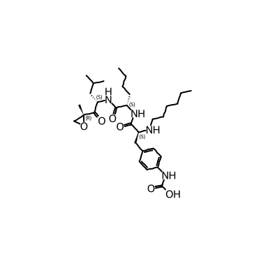 CCCCCCN[C@@H](Cc1ccc(NC(=O)O)cc1)C(=O)N[C@@H](CCCC)C(=O)N[C@@H](CC(C)C)C(=O)[C@@]1(C)CO1